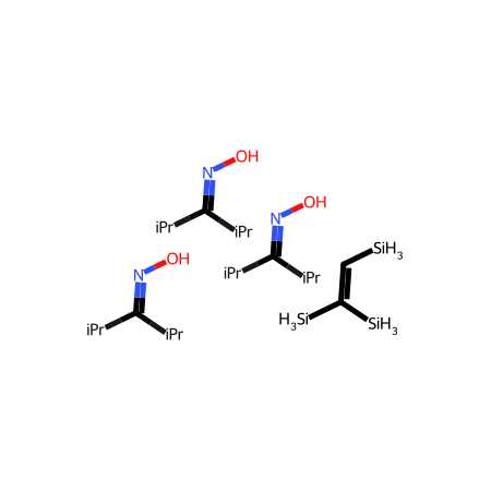 CC(C)C(=NO)C(C)C.CC(C)C(=NO)C(C)C.CC(C)C(=NO)C(C)C.[SiH3]C=C([SiH3])[SiH3]